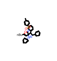 CCCCC1=CC2(/C(=N/S(=O)(=O)c3ccc(C)cc3)O1)C(c1ccccc1)C(c1ccccc1)=NN2c1ccccc1